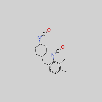 Cc1ccc(CC2CCC(N=C=O)CC2)c(N=C=O)c1C